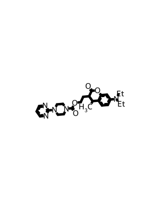 CCN(CC)c1ccc2c(c1)OC(=O)C(CCOC(=O)N1CCN(c3ncccn3)CC1)C2C